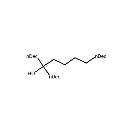 CCCCCCCCCCCCCCC(O)(CCCCCCCCCC)CCCCCCCCCC